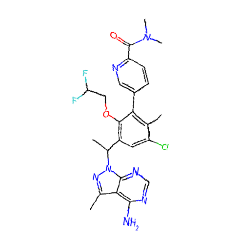 Cc1c(Cl)cc(C(C)n2nc(C)c3c(N)ncnc32)c(OCC(F)F)c1-c1ccc(C(=O)N(C)C)nc1